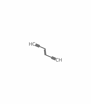 C#C/C=C/C#C